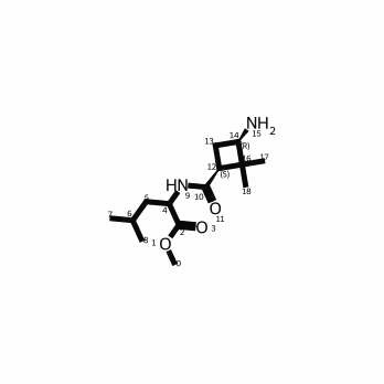 COC(=O)C(CC(C)C)NC(=O)[C@H]1C[C@@H](N)C1(C)C